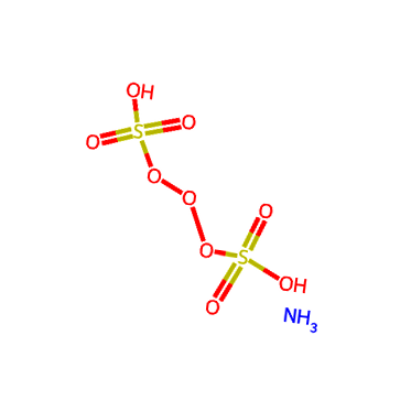 N.O=S(=O)(O)OOOS(=O)(=O)O